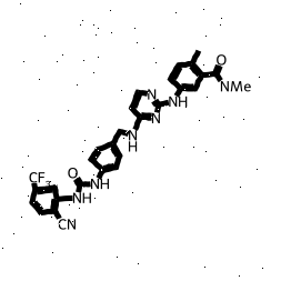 CNC(=O)c1cc(Nc2nccc(NCc3ccc(NC(=O)Nc4cc(C(F)(F)F)ccc4C#N)cc3)n2)ccc1C